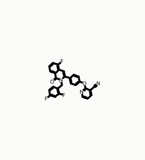 N#Cc1cccnc1Oc1ccc(-c2cc3c(F)cccc3c(=O)n2Cc2ccc(F)cc2F)cc1